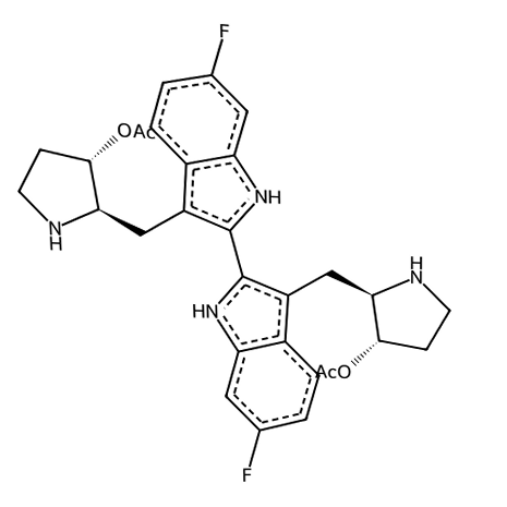 CC(=O)O[C@H]1CCN[C@@H]1Cc1c(-c2[nH]c3cc(F)ccc3c2C[C@H]2NCC[C@@H]2OC(C)=O)[nH]c2cc(F)ccc12